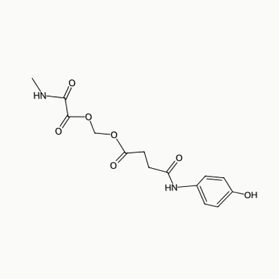 CNC(=O)C(=O)OCOC(=O)CCC(=O)Nc1ccc(O)cc1